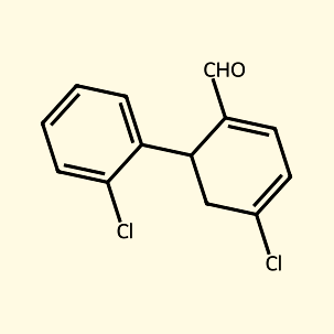 O=CC1=CC=C(Cl)CC1c1ccccc1Cl